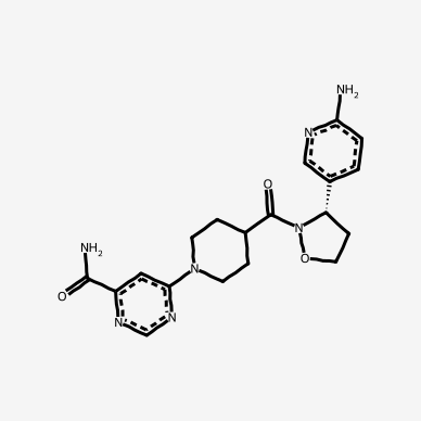 NC(=O)c1cc(N2CCC(C(=O)N3OCC[C@H]3c3ccc(N)nc3)CC2)ncn1